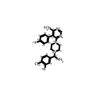 Nc1ncnc(N2CCN(C(N)c3ccc(Cl)c(F)c3)CC2)c1-c1ccc(F)cc1